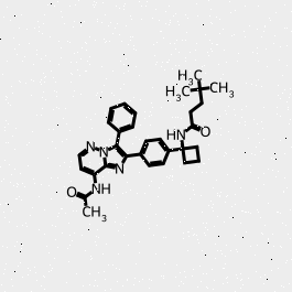 CC(=O)Nc1ccnn2c(-c3ccccc3)c(-c3ccc(C4(NC(=O)CCC(C)(C)C)CCC4)cc3)nc12